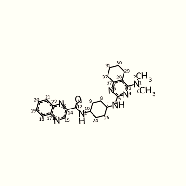 CN(C)c1nc(NC2CCC(NC(=O)c3cnc4ccccc4n3)CC2)nc2c1CCCC2